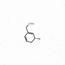 COCC1=C[C@@H](C)CC=C1